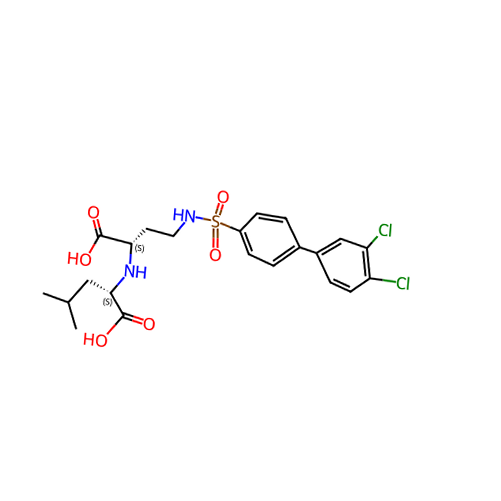 CC(C)C[C@H](N[C@@H](CCNS(=O)(=O)c1ccc(-c2ccc(Cl)c(Cl)c2)cc1)C(=O)O)C(=O)O